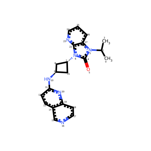 CC(C)n1c(=O)n([C@H]2C[C@H](Nc3ccc4cnccc4n3)C2)c2ncccc21